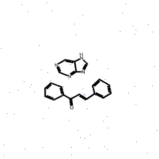 O=C(/C=C/c1ccccc1)c1ccccc1.c1ncc2[nH]cnc2n1